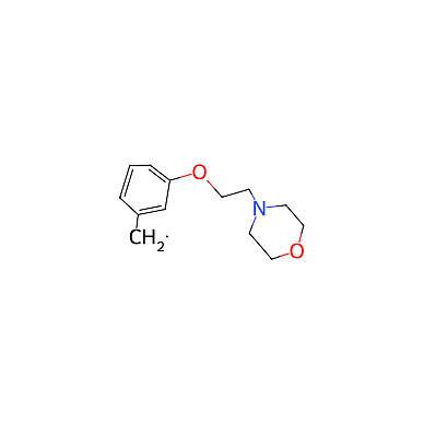 [CH2]c1cccc(OCCN2CCOCC2)c1